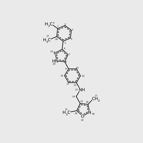 Cc1cccc(-c2cc(-c3ccc(NCc4c(C)noc4C)cc3)[nH]n2)c1C